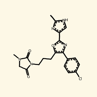 Cc1nc(-c2nc(-c3ccc(Cl)cc3)c(CCCN3C(=O)CN(C)C3=O)o2)c[nH]1